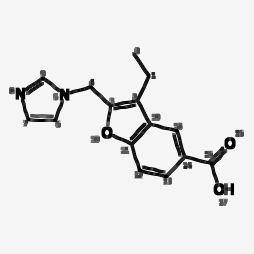 CCc1c(Cn2ccnc2)oc2ccc(C(=O)O)cc12